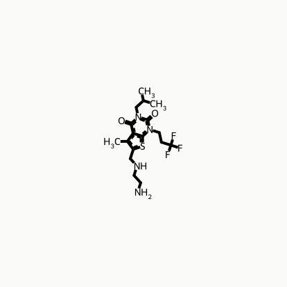 Cc1c(CNCCN)sc2c1c(=O)n(CC(C)C)c(=O)n2CCC(F)(F)F